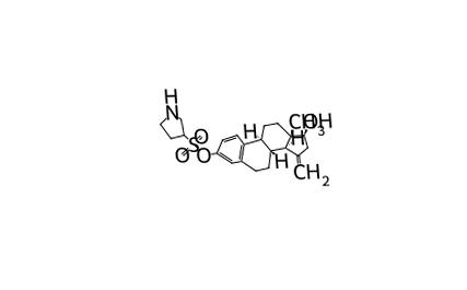 C=C1C[C@H](O)[C@@]2(C)CC[C@@H]3c4ccc(OS(=O)(=O)C5CCNC5)cc4CC[C@H]3[C@H]12